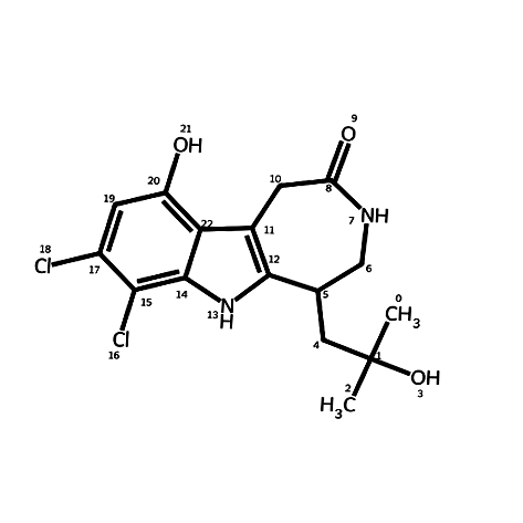 CC(C)(O)CC1CNC(=O)Cc2c1[nH]c1c(Cl)c(Cl)cc(O)c21